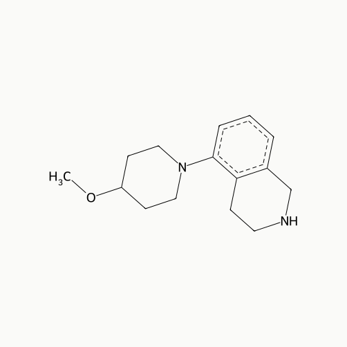 COC1CCN(c2cccc3c2CCNC3)CC1